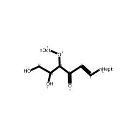 CCCCCCCC=CC(=O)C(OCCCCCCCC)C(O)CO